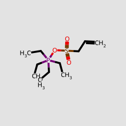 C=CCS(=O)(=O)OP(CC)(CC)(CC)CC